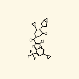 O=C(c1nc2c(C(F)(F)F)cc(C3CC3)cn2c1Cl)N1CC(=O)N(C2CC3CC3C2)C(C2CC2)C1